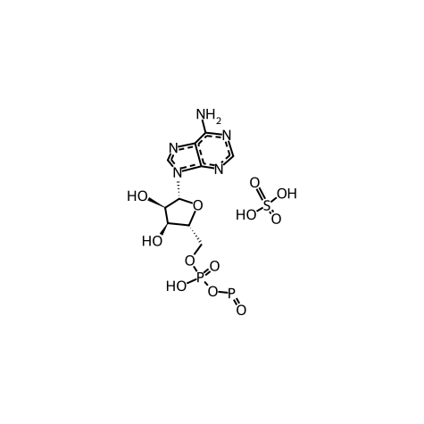 Nc1ncnc2c1ncn2[C@@H]1O[C@H](COP(=O)(O)OP=O)[C@@H](O)[C@H]1O.O=S(=O)(O)O